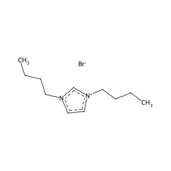 CCCCn1cc[n+](CCCC)c1.[Br-]